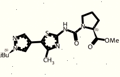 CC[C@H](C)n1cc(-c2sc(NC(=O)N3CCC[C@H]3C(=O)OC)nc2C)cn1